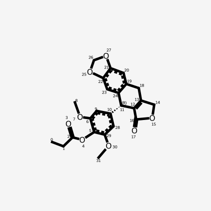 CCC(=O)Oc1c(OC)cc([C@H]2C3=C(COC3=O)Cc3cc4c(cc32)OCO4)cc1OC